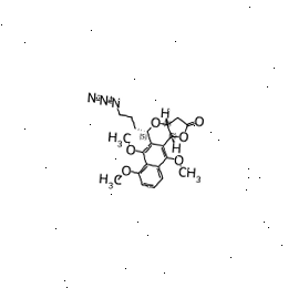 COc1c2c(c(OC)c3c(OC)cccc13)[C@H](CCCN=[N+]=[N-])O[C@@H]1CC(=O)O[C@H]21